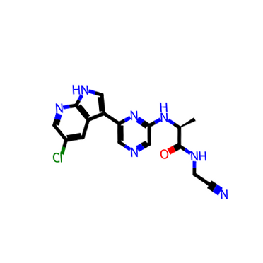 C[C@H](Nc1cncc(-c2c[nH]c3ncc(Cl)cc23)n1)C(=O)NCC#N